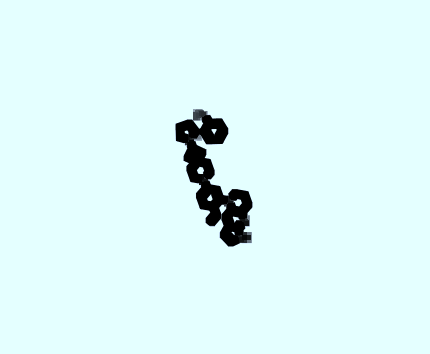 C=CC1CC=C(N2CCC3(CC2)CC(N2CCC[C@H]2c2ccccc2C(C)C)C3)C=C1N1CCCc2nc3[nH]ccc3cc21